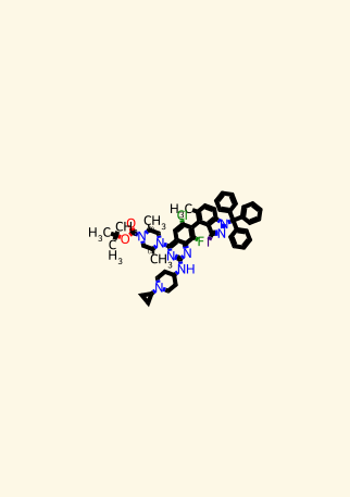 Cc1ccc2c(c(I)nn2C(c2ccccc2)(c2ccccc2)c2ccccc2)c1-c1c(Cl)cc2c(N3C[C@@H](C)N(C(=O)OC(C)(C)C)C[C@@H]3C)nc(NC3CCN(C4CC4)CC3)nc2c1F